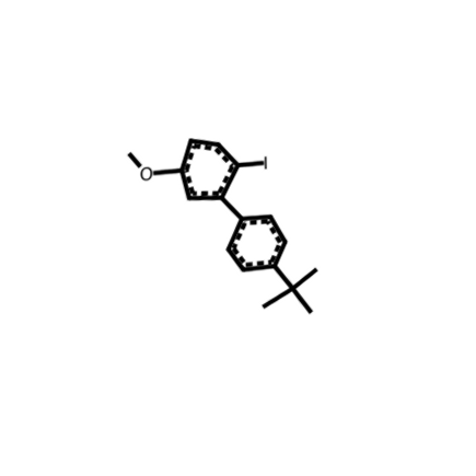 COc1ccc(I)c(-c2ccc(C(C)(C)C)cc2)c1